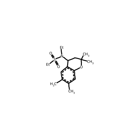 CCN(C1CC(C)(C)Oc2cc(C)c(C)cc21)S(=O)(=O)CC